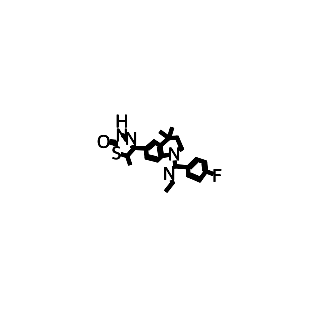 CCN=C(c1ccc(F)cc1)N1CCC(C)(C)c2cc(C3=NNC(=O)SC3C)ccc21